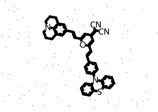 N#CC(C#N)=C1C=C(/C=C/c2ccc(N3c4ccccc4Sc4ccccc43)cc2)OC(/C=C/c2cc3c4c(c2)CCCN4CCC3)=C1